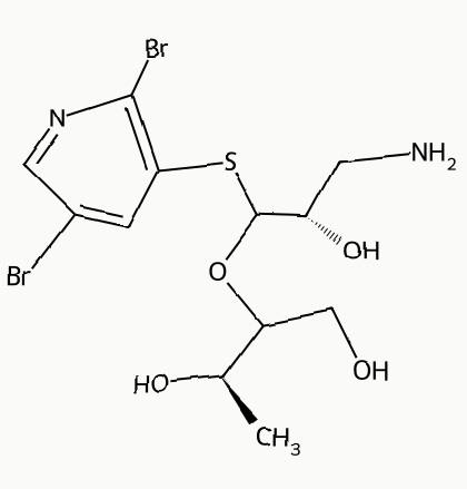 C[C@@H](O)C(CO)OC(Sc1cc(Br)cnc1Br)[C@@H](O)CN